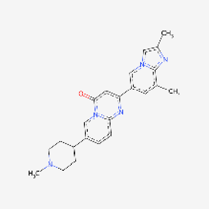 Cc1cn2cc(-c3cc(=O)n4cc(C5CCN(C)CC5)ccc4n3)cc(C)c2n1